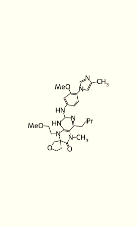 COCCN1C2=C(C(CC(C)C)=NC(Nc3ccc(-n4cnc(C)c4)c(OC)c3)N2)N(C)C(=O)C12CCOC2